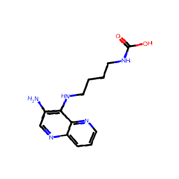 Nc1cnc2cccnc2c1NCCCCNC(=O)O